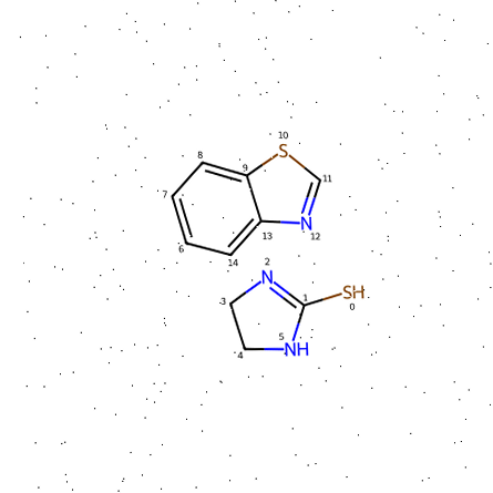 SC1=NCCN1.c1ccc2scnc2c1